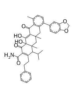 Cc1ccc(-c2ccc3c(c2)OCO3)c2c1C(=O)C1=C(O)C3(O)C(=O)C(C(N)=O)=C(CCc4ccccc4)C(C(C)C)C3(C)CC1(C)C2